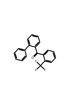 O=C(c1ccccc1-c1ccccc1)c1ccccc1C(F)(F)F